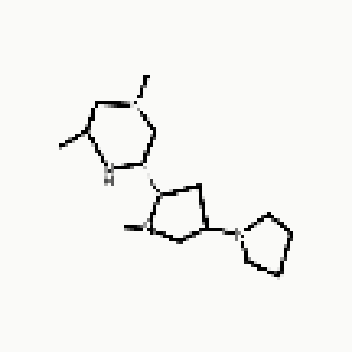 CC1CN(C)C[C@H](C2CC(N3CCCC3)CN2C)N1